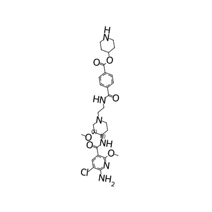 COc1nc(N)c(Cl)cc1C(=O)N[C@@H]1CCN(CCNC(=O)c2ccc(C(=O)OC3CCNCC3)cc2)C[C@@H]1OC